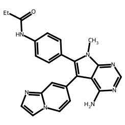 CCC(=O)Nc1ccc(-c2c(-c3ccn4ccnc4c3)c3c(N)ncnc3n2C)cc1